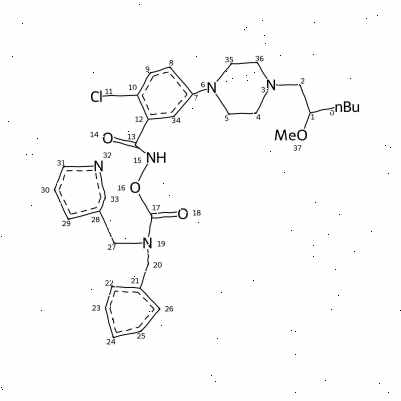 CCCCC(CN1CCN(c2ccc(Cl)c(C(=O)NOC(=O)N(Cc3ccccc3)Cc3cccnc3)c2)CC1)OC